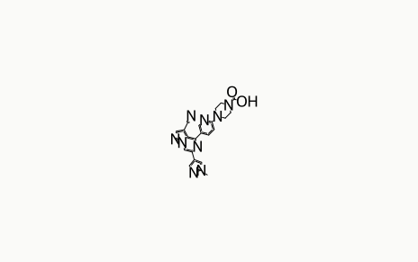 Cn1cc(-c2cn3ncc(C#N)c3c(-c3ccc(N4CCN(C(=O)O)CC4)nc3)n2)cn1